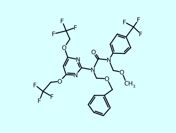 COCN(C(=O)N(COCc1ccccc1)c1nc(OCC(F)(F)F)cc(OCC(F)(F)F)n1)c1ccc(C(F)(F)F)cc1